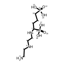 NCCNCCNC(CCCP(=O)(O)O)P(=O)(O)O